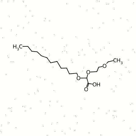 CCCCCCCCCCCCOC(OCCOCC)C(=O)O